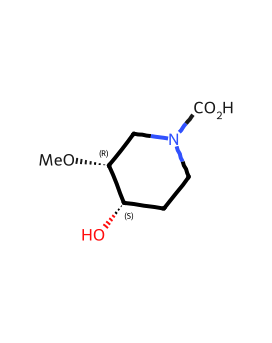 CO[C@@H]1CN(C(=O)O)CC[C@@H]1O